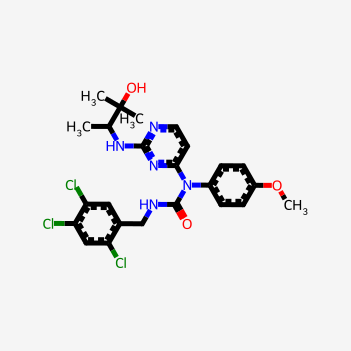 COc1ccc(N(C(=O)NCc2cc(Cl)c(Cl)cc2Cl)c2ccnc(NC(C)C(C)(C)O)n2)cc1